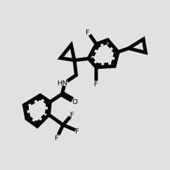 O=C(NCC1(c2c(F)cc(C3CC3)cc2F)CC1)c1ccccc1C(F)(F)F